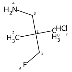 CC(C)(CN)CF.Cl